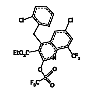 CCOC(=O)c1c(OS(=O)(=O)C(F)(F)F)nc2c(C(F)(F)F)cc(Cl)cc2c1Cc1ccccc1Cl